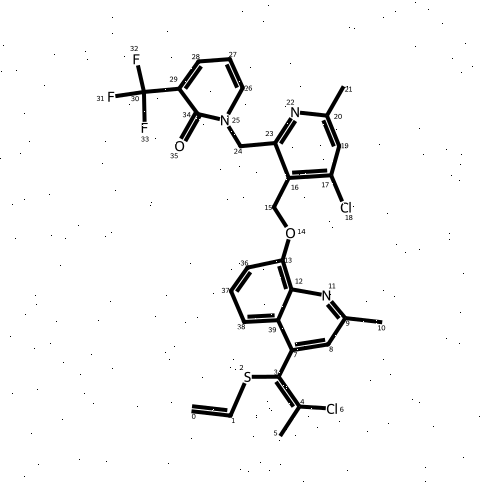 C=CS/C(=C(\C)Cl)c1cc(C)nc2c(OCc3c(Cl)cc(C)nc3Cn3cccc(C(F)(F)F)c3=O)cccc12